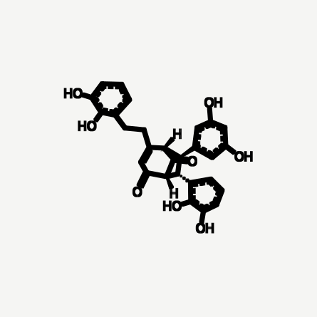 O=C1C=C(CCc2cccc(O)c2O)[C@H]2C(=O)[C@@H]1[C@@H](c1cccc(O)c1O)[C@@H]2c1cc(O)cc(O)c1